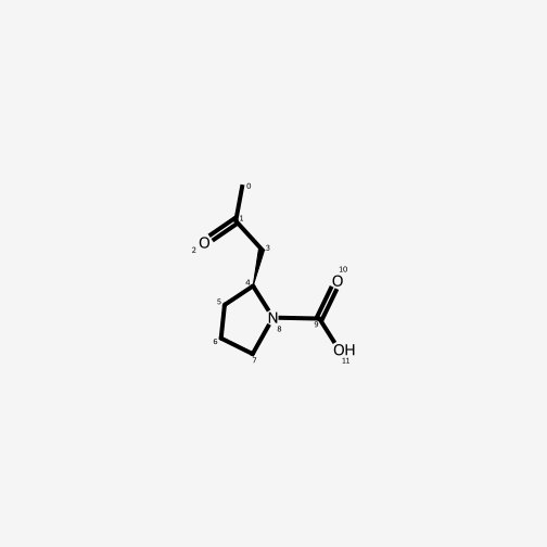 CC(=O)C[C@@H]1CCCN1C(=O)O